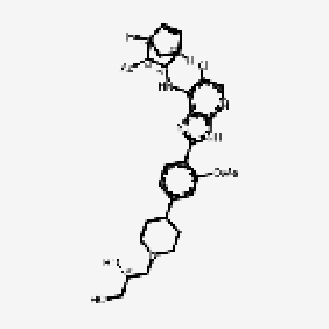 COc1cc(C2CCN(C[C@@H](O)CO)CC2)ccc1-c1nc2c(N[C@H]3[C@@H](C(C)=O)[C@@H]4C=C[C@H]3C4)c(Cl)cnc2[nH]1